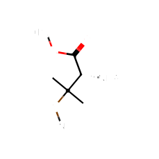 CC(=O)N[C@@H](C(=O)OC(C)(C)C)C(C)(C)SN=O